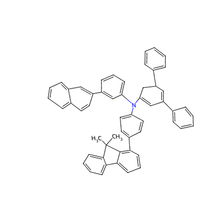 CC1(C)c2ccccc2-c2cccc(-c3ccc(N(C4=CC(c5ccccc5)=CC(c5ccccc5)C4)c4cccc(-c5ccc6ccccc6c5)c4)cc3)c21